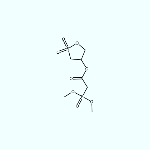 COP(=O)(CC(=O)OC1COS(=O)(=O)C1)OC